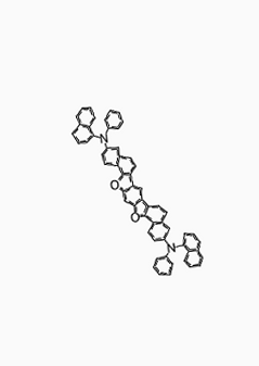 c1ccc(N(c2ccc3c(ccc4c5cc6c(cc5oc34)oc3c4ccc(N(c5ccccc5)c5cccc7ccccc57)cc4ccc63)c2)c2cccc3ccccc23)cc1